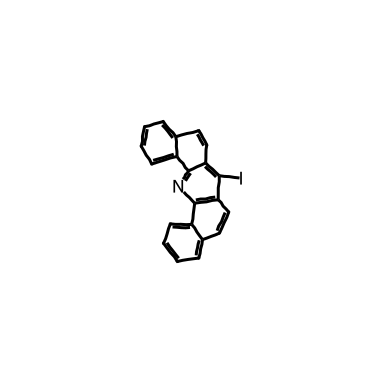 Ic1c2ccc3ccccc3c2nc2c1ccc1ccccc12